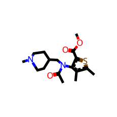 COC(=O)c1sc(C)c(C)c1N(CC1CCN(C)CC1)C(C)=O